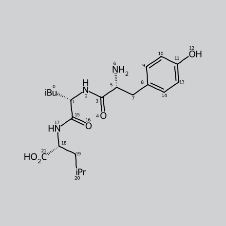 CCC(C)[C@H](NC(=O)[C@H](N)Cc1ccc(O)cc1)C(=O)N[C@H](CC(C)C)C(=O)O